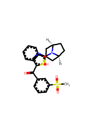 CS(=O)(=O)c1cccc(C(=O)c2cnc(N3[C@@H]4CC[C@H]3C[C@@](O)(c3ccccc3)C4)s2)c1